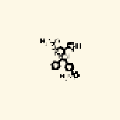 NC(=O)Oc1cc(-c2cc[nH]n2)c2nc(-c3ccc(C4(N)CCC4)cc3)c(-c3ccccc3)n2n1